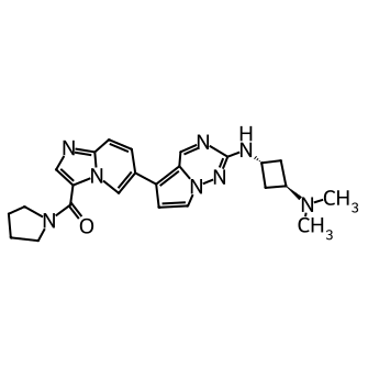 CN(C)[C@H]1C[C@H](Nc2ncc3c(-c4ccc5ncc(C(=O)N6CCCC6)n5c4)ccn3n2)C1